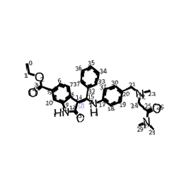 CCOC(=O)c1ccc2c(c1)NC(=O)/C2=C(\Nc1ccc(CN(C)CC(=O)N(C)C)cc1)c1ccccc1